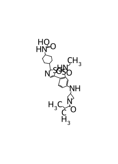 CCNS(=O)(=O)c1cc(NC2CN(C(=O)C(C)C)C2)ccc1-c1cnc(C2CCC(NC(=O)O)CC2)s1